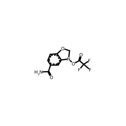 NC(=O)c1ccc2c(c1)N(OC(=O)C(F)(F)F)CO2